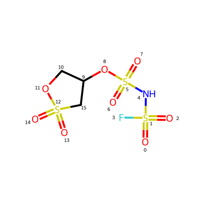 O=S(=O)(F)NS(=O)(=O)OC1COS(=O)(=O)C1